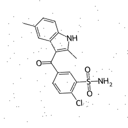 Cc1ccc2[nH]c(C)c(C(=O)c3ccc(Cl)c(S(N)(=O)=O)c3)c2c1